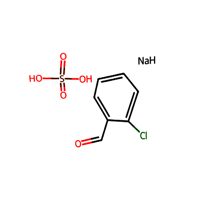 O=Cc1ccccc1Cl.O=S(=O)(O)O.[NaH]